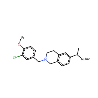 CC(=O)NC(C)c1ccc2c(c1)CCN(Cc1ccc(OC(C)C)c(Cl)c1)C2